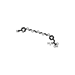 N#Cc1ccc(OCCOCCOCCOCCOc2ccc(CC(N)C(=O)O)cc2)cn1